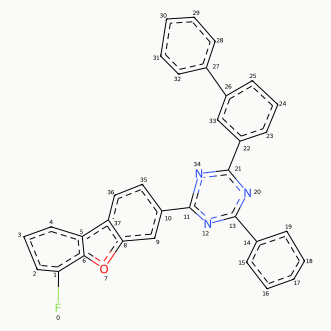 Fc1cccc2c1oc1cc(-c3nc(-c4ccccc4)nc(-c4cccc(-c5ccccc5)c4)n3)ccc12